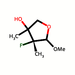 COC1OCC(C)(O)[C@@]1(C)F